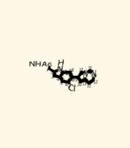 CC(=O)NCc1cc2cc(Cl)c(-c3cc4ccncn4c3)cc2[nH]1